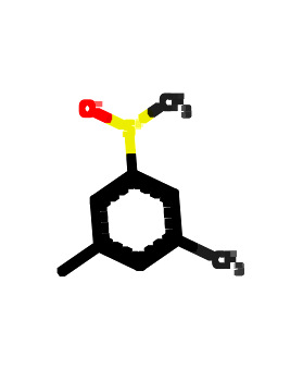 Cc1cc([S+]([O-])C(F)(F)F)cc(C(F)(F)F)c1